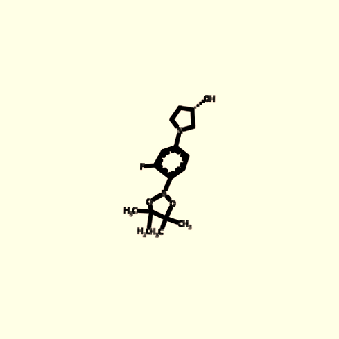 CC1(C)OB(c2ccc(N3CC[C@H](O)C3)cc2F)OC1(C)C